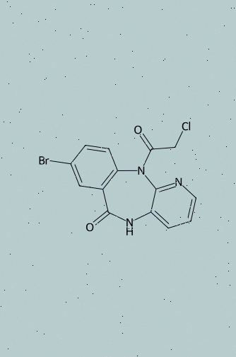 O=C1Nc2cccnc2N(C(=O)CCl)c2ccc(Br)cc21